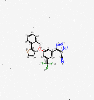 N#Cc1[nH]nnc1-c1cc(OCc2ccccc2-c2cccs2)cc(C(F)(F)F)c1